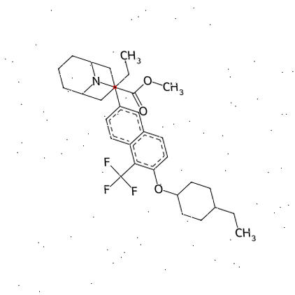 CCC1CCC(Oc2ccc3cc(C(CC)N4C5CCCC4CC(C(=O)OC)C5)ccc3c2C(F)(F)F)CC1